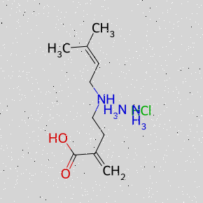 C=C(CCNCC=C(C)C)C(=O)O.Cl.N.N